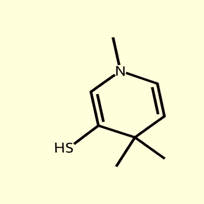 CN1C=CC(C)(C)C(S)=C1